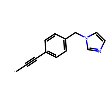 [CH2]C#Cc1ccc(Cn2ccnc2)cc1